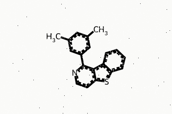 Cc1cc(C)cc(-c2nccc3sc4ccccc4c23)c1